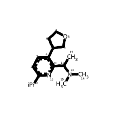 CC(C)c1ccc(C2CCOC2)c(C(C)N(C)C)n1